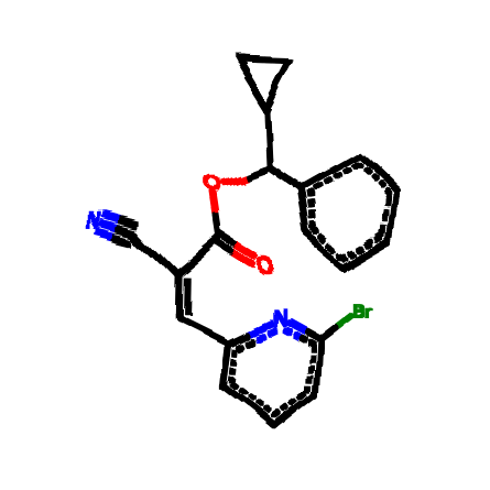 N#CC(=Cc1cccc(Br)n1)C(=O)OC(c1ccccc1)C1CC1